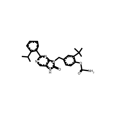 CC(C)c1ccccc1-c1ncc2[nH]c(=O)n(Cc3ccc(OC(N)=O)c(C(C)(C)C)c3)c2n1